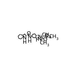 CCC(=O)Oc1c(C)nn(Cc2ccc(NC(=O)c3cc4ccccc4[nH]3)cc2F)c1C